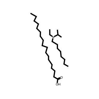 CCCCCCCCCCCCCCCCCC(=O)O.CCCCCCCCN(CC)C(C)C